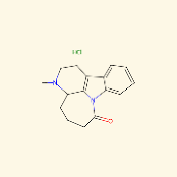 CN1CCc2c3n(c4ccccc24)C(=O)CCCC31.Cl